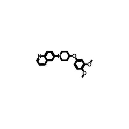 COc1ccc(OC2CCN(c3ccc4ncc[c]c4c3)CC2)cc1OC